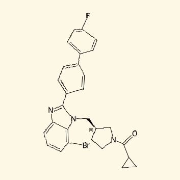 O=C(C1CC1)N1CC[C@@H](Cn2c(-c3ccc(-c4ccc(F)cc4)cc3)nc3cccc(Br)c32)C1